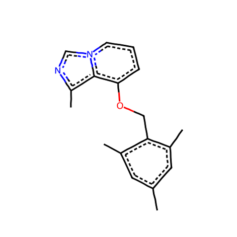 Cc1cc(C)c(COc2cccn3cnc(C)c23)c(C)c1